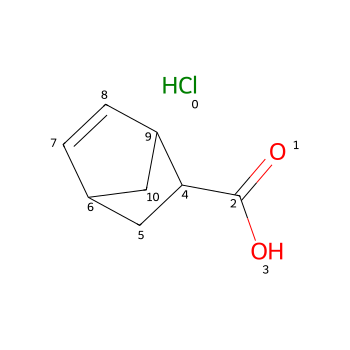 Cl.O=C(O)C1CC2C=CC1C2